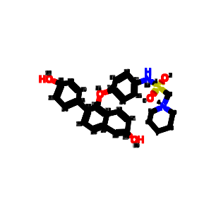 O=S(=O)(CN1CCCCC1)Nc1ccc(Oc2c(-c3ccc(O)cc3)ccc3cc(O)ccc23)cc1